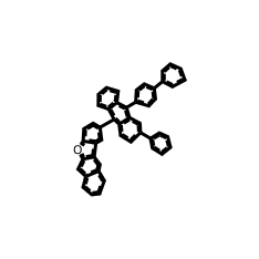 c1ccc(-c2ccc(-c3c4ccccc4c(-c4ccc5oc6cc7ccccc7cc6c5c4)c4ccc(-c5ccccc5)cc34)cc2)cc1